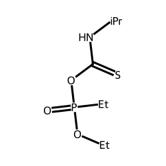 CCOP(=O)(CC)OC(=S)NC(C)C